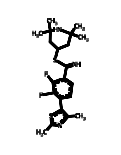 Cc1nc(C)c(-c2ccc(C(=N)SC3CC(C)(C)NC(C)(C)C3)c(F)c2F)s1